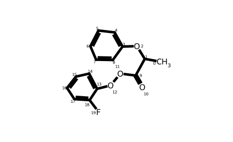 CC(Oc1ccccc1)C(=O)OOc1ccccc1F